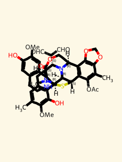 COc1cc2c(cc1O)CCN[C@]21CS[C@H]2c3c(OC(C)=O)c(C)c4c(c3[C@H](COC1=O)N1[C@@H]2[C@H]2c3c(cc(C)c(OC)c3O)C[C@@H]([C@@H]1C(C=O)C=O)N2C)OCO4